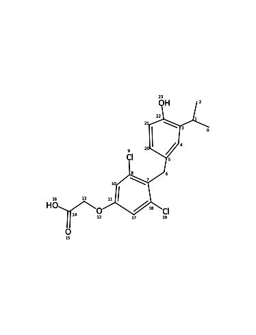 CC(C)c1cc(Cc2c(Cl)cc(OCC(=O)O)cc2Cl)ccc1O